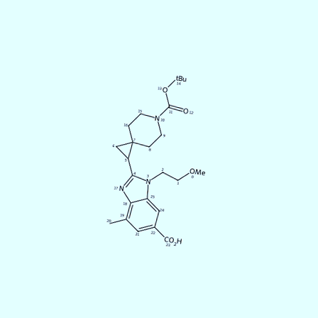 COCCn1c(C2CC23CCN(C(=O)OC(C)(C)C)CC3)nc2c(C)cc(C(=O)O)cc21